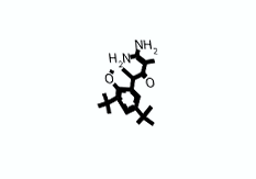 COc1c(C(C)C(=O)C(C)=C(N)N)cc(C(C)(C)C)cc1C(C)(C)C